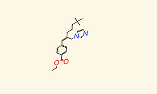 CCOC(=O)c1ccc(C=C(CCCC(C)(C)C)Cn2ccnc2)cc1